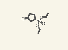 CCOP(=O)(OCC)[C@H]1CCC(=O)C1